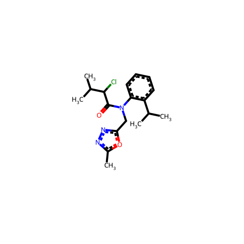 Cc1nnc(CN(C(=O)C(Cl)C(C)C)c2ccccc2C(C)C)o1